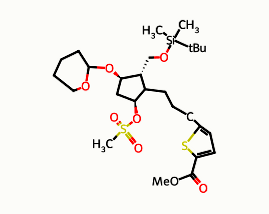 COC(=O)c1ccc(CCCC2[C@@H](OS(C)(=O)=O)C[C@@H](OC3CCCCO3)[C@@H]2CO[Si](C)(C)C(C)(C)C)s1